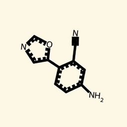 N#Cc1cc(N)ccc1-c1cnco1